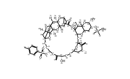 C=C1C[C@H](OS(=O)(=O)c2ccc(C)cc2)CC[C@@]23C[C@H]4OC5[C@@H](O[C@H]6CCC(CC(=O)O[C@H]7C(C[C@H]8OC(CC[C@@H]1O)C[C@@H](C)C8=C)OC1C[C@@H](O[Si](C)(C)C(C)(C)C)[C@@H](CCC)O[C@H]1[C@@H]7C)O[C@@H]6[C@@H]5O2)[C@H]4O3